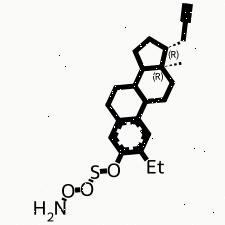 C#CC[C@H]1CCC2C3CCc4cc(OSOON)c(CC)cc4C3CC[C@@]21C